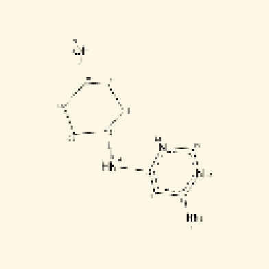 CC(C)(C)c1cc(N[C@H]2CC[C@@H](O)CC2)ncn1